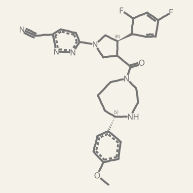 COc1ccc([C@@H]2CCCN(C(=O)C3CN(c4ccc(C#N)nn4)C[C@H]3C3C=CC(F)=CC3F)CCN2)cc1